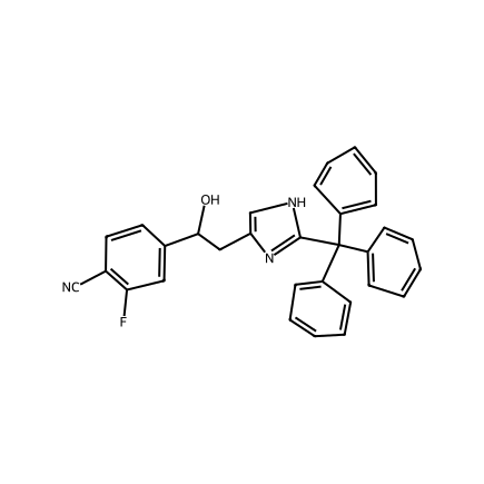 N#Cc1ccc(C(O)Cc2c[nH]c(C(c3ccccc3)(c3ccccc3)c3ccccc3)n2)cc1F